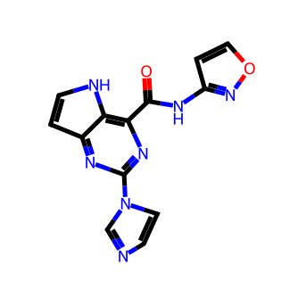 O=C(Nc1ccon1)c1nc(-n2ccnc2)nc2cc[nH]c12